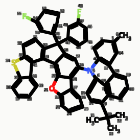 Cc1ccc(N(c2ccc(C(C)(C)C)cc2)c2cc3c(c4oc5ccccc5c24)-c2c(ccc4sc5ccccc5c24)C3(c2cccc(F)c2)c2cccc(F)c2)c(-c2ccccc2)c1